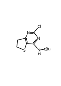 CC(C)(C)Nc1nc(Cl)nc2c1SCC2